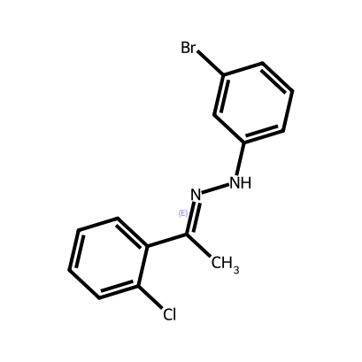 C/C(=N\Nc1cccc(Br)c1)c1ccccc1Cl